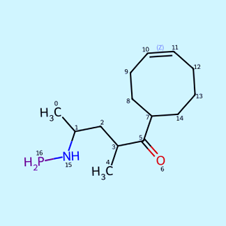 CC(CC(C)C(=O)C1CC/C=C\CCC1)NP